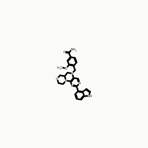 COc1cc(C(N)=O)ccc1CN1CC2COCCN2c2nc(-c3cccc4[nH]ccc34)ncc21